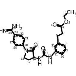 CCOC(=O)CCc1cccc(NC(=O)N[C@H]2CCN(c3ccc(C(=N)N)cc3)C2=O)c1